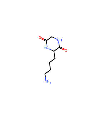 NCCCCC1NC(=O)CNC1=O